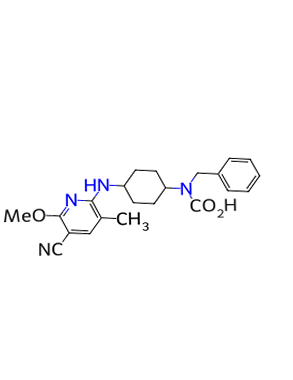 COc1nc(NC2CCC(N(Cc3ccccc3)C(=O)O)CC2)c(C)cc1C#N